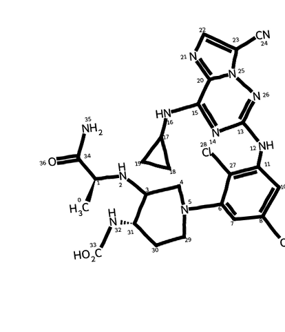 C[C@H](NC1CN(c2cc(C#N)cc(Nc3nc(NC4CC4)c4ncc(C#N)n4n3)c2Cl)CC[C@@H]1NC(=O)O)C(N)=O